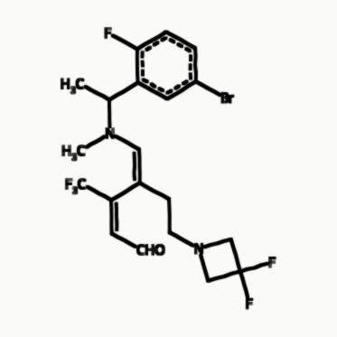 CC(c1cc(Br)ccc1F)N(C)/C=C(CCN1CC(F)(F)C1)\C(=C/C=O)C(F)(F)F